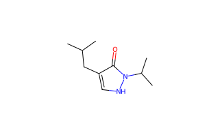 CC(C)Cc1c[nH]n(C(C)C)c1=O